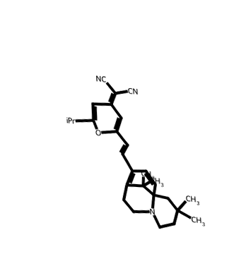 CC(C)C1=CC(=C(C#N)C#N)C=C(C=CC2=C3CCN4CCC(C)(C)CC4(C=C2)C3(C)C)O1